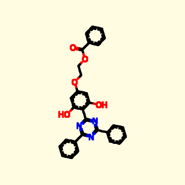 O=C(OCCOc1cc(O)c(-c2nc(-c3ccccc3)nc(-c3ccccc3)n2)c(O)c1)c1ccccc1